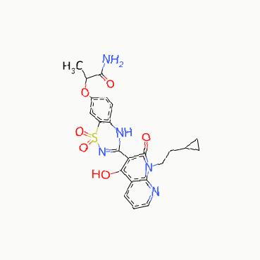 CC(Oc1ccc2c(c1)S(=O)(=O)N=C(c1c(O)c3cccnc3n(CCC3CC3)c1=O)N2)C(N)=O